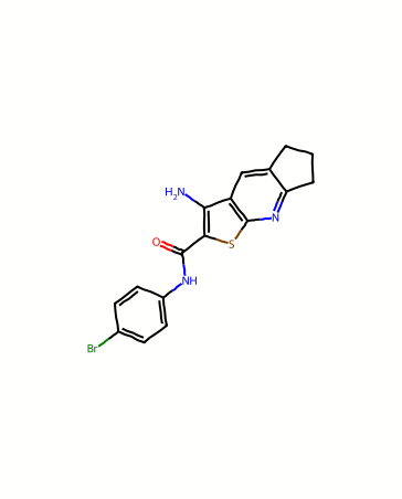 Nc1c(C(=O)Nc2ccc(Br)cc2)sc2nc3c(cc12)CCC3